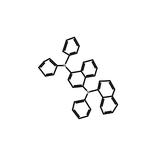 c1ccc(N(c2ccccc2)c2ccc(N(c3ccccc3)c3cccc4ccccc34)c3ccccc23)cc1